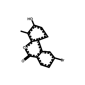 Cc1c(O)ccc2c1oc(=O)c1ccc(Br)cc12